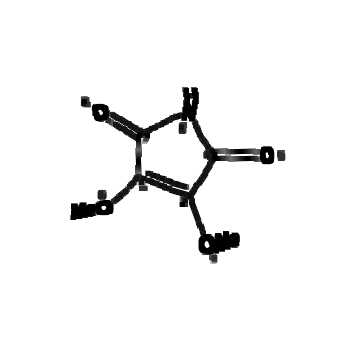 COC1=C(OC)C(=O)NC1=O